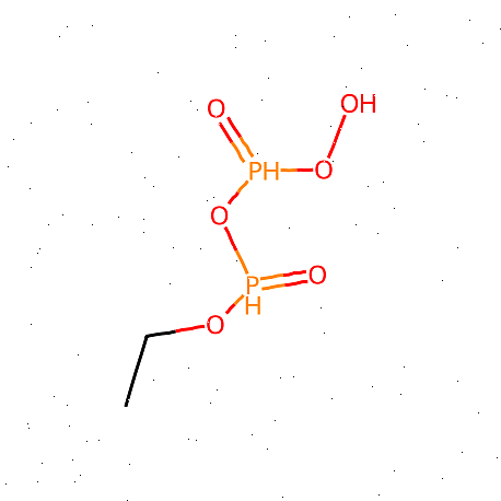 CCO[PH](=O)O[PH](=O)OO